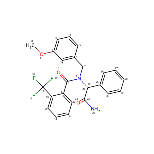 COc1cccc(CN(C(=O)c2ccccc2C(F)(F)F)[C@@H](C(N)=O)c2ccccc2)c1